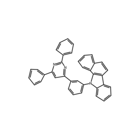 c1ccc(-c2cc(-c3cccc(-n4c5ccccc5c5ccc6ccccc6c54)c3)nc(-c3ccccc3)n2)cc1